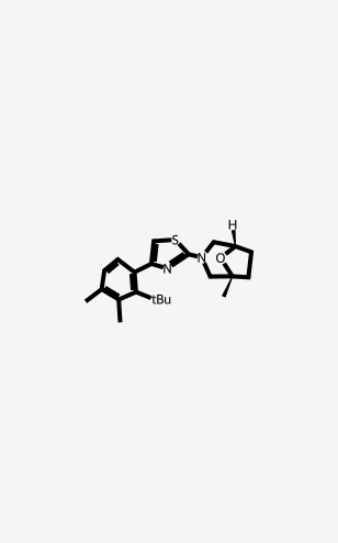 Cc1ccc(-c2csc(N3C[C@@H]4CC[C@](C)(C3)O4)n2)c(C(C)(C)C)c1C